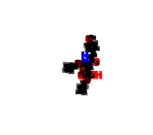 COc1ccc(CCC(=O)N(CC[C@H](O)C(=O)OCC[Si](C)(C)C)NC(=O)OCC[Si](C)(C)C)cc1